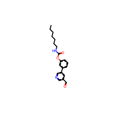 CCCCCCCNC(=O)Oc1cccc(-c2cncc(C=O)c2)c1